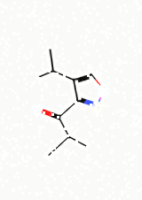 CC(C)C(=O)c1nocc1C(C)C